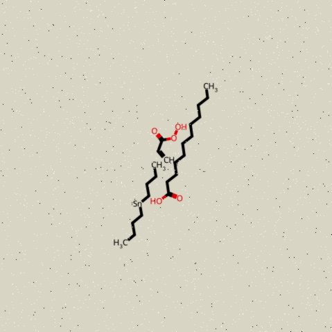 C=CC(=O)OO.CCCCCCCCCCCC(=O)O.CCC[CH2][Sn][CH2]CCC